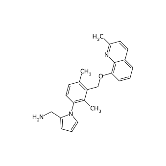 Cc1ccc2cccc(OCc3c(C)ccc(-n4cccc4CN)c3C)c2n1